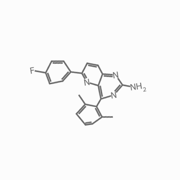 Cc1cccc(C)c1-c1nc(N)nc2ccc(-c3ccc(F)cc3)nc12